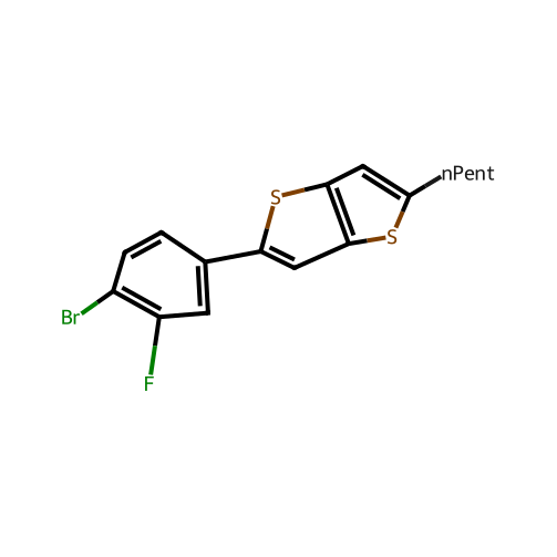 CCCCCc1cc2sc(-c3ccc(Br)c(F)c3)cc2s1